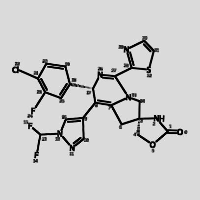 O=C1N[C@@]2(CO1)CC1=C(c3cnn(C(F)F)c3)[C@H](c3ccc(Cl)c(F)c3)N=C(c3nccs3)N1C2